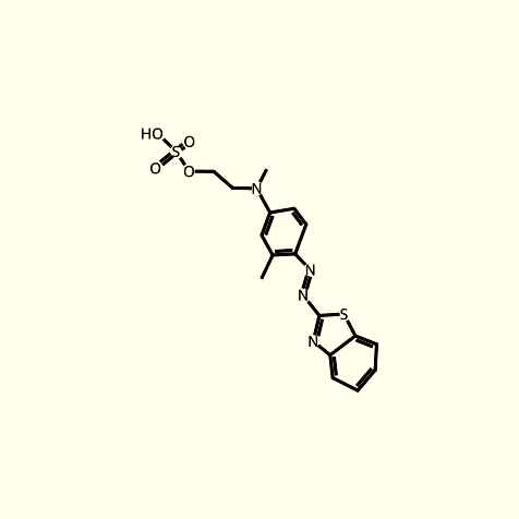 Cc1cc(N(C)CCOS(=O)(=O)O)ccc1/N=N/c1nc2ccccc2s1